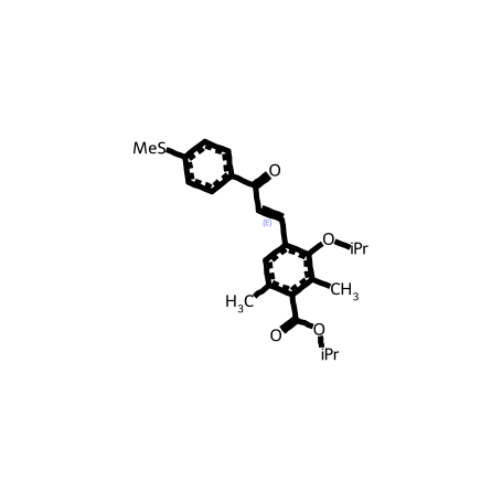 CSc1ccc(C(=O)/C=C/c2cc(C)c(C(=O)OC(C)C)c(C)c2OC(C)C)cc1